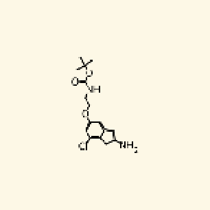 CC(C)(C)OC(=O)NCCOc1cc(Cl)c2c(c1)CC(N)C2